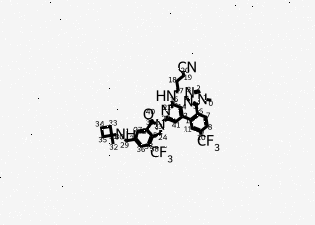 Cn1cnnc1-c1ccc(C(F)(F)F)cc1-c1cc(NCCCC#N)nc(N2Cc3c(cc(CNC4(C)CCC4)cc3C(F)(F)F)C2=O)c1